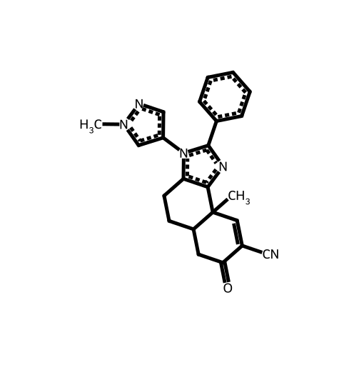 Cn1cc(-n2c(-c3ccccc3)nc3c2CCC2CC(=O)C(C#N)=CC32C)cn1